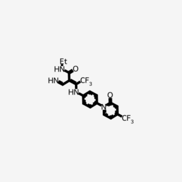 CCNC(=O)/C(C=N)=C(/Nc1ccc(-n2ccc(C(F)(F)F)cc2=O)cc1)C(F)(F)F